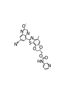 COc1cnc2c(-c3nc4c(C)cc5c(c4s3)OC[C@H](COC(=O)Nc3cccnc3)O5)cc(C#N)cc2n1